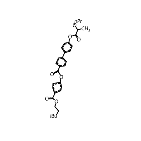 CCCOC(C)C(=O)Oc1ccc(-c2ccc(C(=O)Oc3ccc(C(=O)OCCC(C)CC)cc3)cc2)cc1